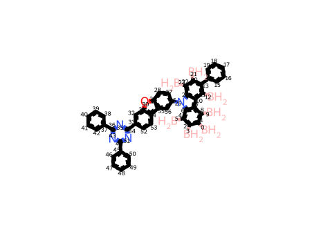 Bc1c(B)c(B)c2c(c1B)c1c(B)c(-c3ccccc3)c(B)c(B)c1n2-c1ccc2oc3cc(-c4nc(-c5ccccc5)nc(-c5ccccc5)n4)ccc3c2c1